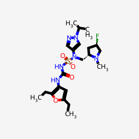 CCc1cc(NC(=O)NS(=O)(=O)N(C[C@@H]2C[C@@H](F)CN2C)c2cnn(C(C)C)c2)c(CC)o1